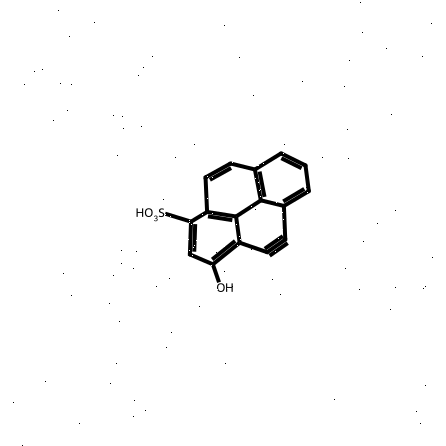 O=S(=O)(O)c1cc(O)c2c#cc3cccc4ccc1c2c34